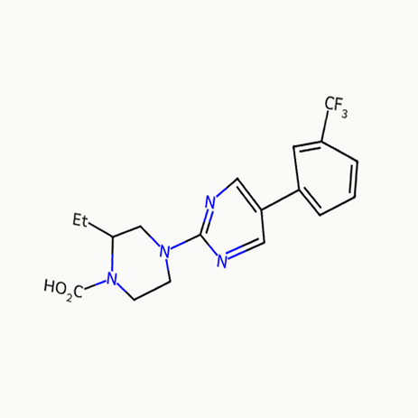 CCC1CN(c2ncc(-c3cccc(C(F)(F)F)c3)cn2)CCN1C(=O)O